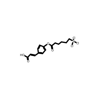 O=C(O)C=Cc1ccc(OC(=O)CCCCC[Si](Cl)(Cl)Cl)cc1